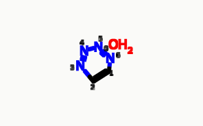 O.c1cnnnn1